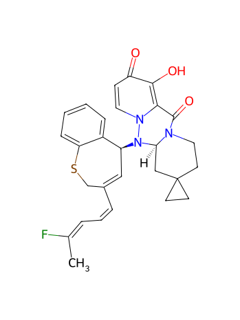 C/C(F)=C\C=C/C1=C[C@H](N2[C@@H]3CC4(CCN3C(=O)c3c(O)c(=O)ccn32)CC4)c2ccccc2SC1